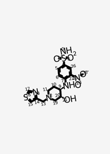 NS(=O)(=O)c1ccc(N[C@@H]2CCN(Cc3cscn3)C[C@@H]2O)c([N+](=O)[O-])c1